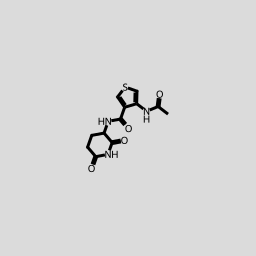 CC(=O)Nc1cscc1C(=O)NC1CCC(=O)NC1=O